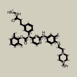 CCCCNC(=O)CCc1cccc(N(C(=O)Oc2c(C)cccc2C)c2ccnc(Nc3ccc(OCCN4CCN(CCC)CC4)c(F)c3)n2)c1